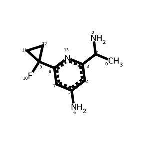 CC(N)c1cc(N)cc(C2(F)CC2)n1